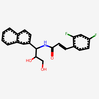 O=C(/C=C/c1ccc(F)cc1F)NC(c1ccc2ccccc2c1)C(O)CO